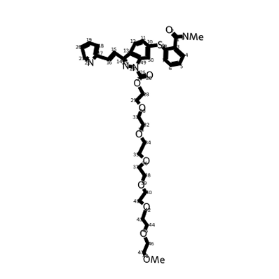 CNC(=O)c1ccccc1Sc1ccc2c(/C=C/c3ccccn3)nn(C(=O)OCCOCCOCCOCCOCCOCCOCCOC)c2c1